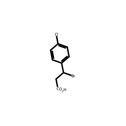 O=C(O)CC(Br)c1ccc(Cl)cc1